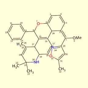 COC(=C1C=CC=C2OC(c3ccccc3)C3=C(C=CC4NC(C)(C)C=C(C)C34)C21)c1cc(C)on1